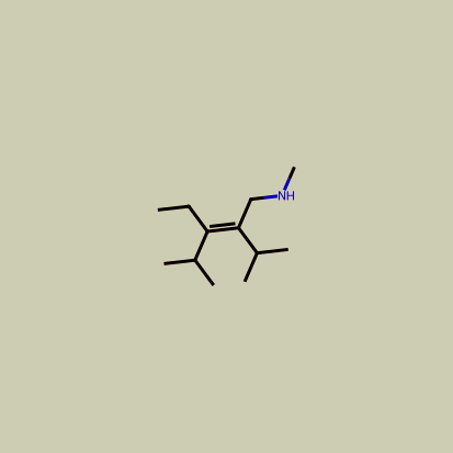 CC/C(=C(\CNC)C(C)C)C(C)C